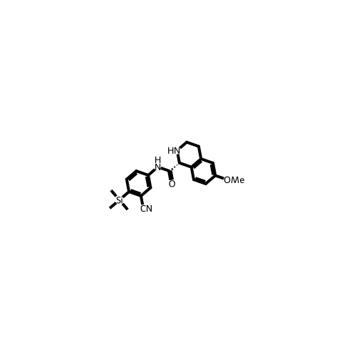 COc1ccc2c(c1)CCN[C@H]2C(=O)Nc1ccc([Si](C)(C)C)c(C#N)c1